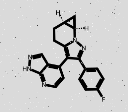 Fc1ccc(-c2nn3c(c2-c2ccnc4[nH]ncc24)CC[C@H]2C[C@H]23)cc1